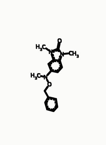 CN(OCc1ccccc1)c1ccc2c(c1)n(C)c(=O)n2C